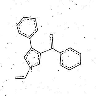 C=Cn1cc(C(=O)c2ccccc2)c(-c2ccccc2)c1